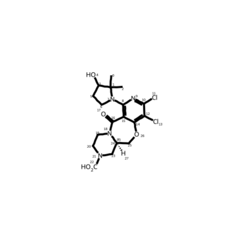 CC1(C)C(O)CCN1c1nc(Cl)c(Cl)c2c1C(=O)N1CCN(C(=O)O)C[C@@H]1CO2